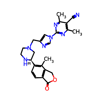 Cc1nc(-n2cnc(CN3CCN[C@H](c4ccc5c(c4C)COC5=O)C3)c2)nc(C)c1C#N